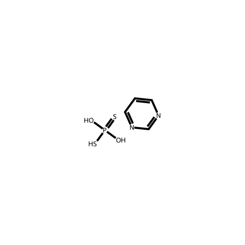 OP(O)(=S)S.c1cncnc1